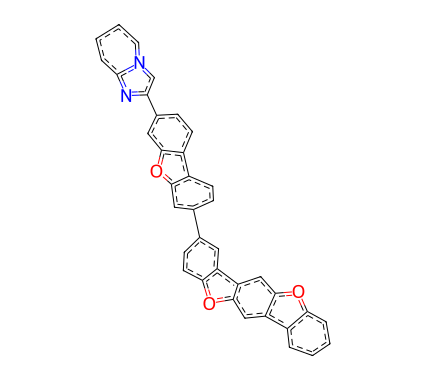 c1ccc2c(c1)oc1cc3c(cc12)oc1ccc(-c2ccc4c(c2)oc2cc(-c5cn6ccccc6n5)ccc24)cc13